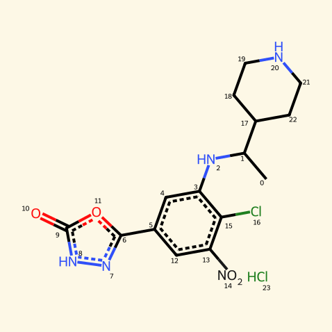 CC(Nc1cc(-c2n[nH]c(=O)o2)cc([N+](=O)[O-])c1Cl)C1CCNCC1.Cl